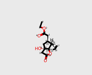 CCOC(=O)C[C@@H]1C[C@]2(O)CC(=O)O[C@@]23CC=CC[C@H]13